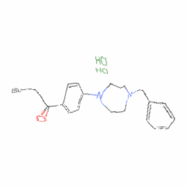 CC(C)(C)CC(=O)c1ccc(N2CCN(Cc3ccccc3)CC2)cc1.Cl.Cl